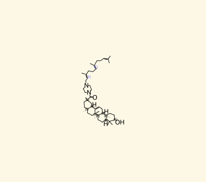 CC(C)=CCC/C(C)=C/CC/C(C)=C/CN1CCN(C(=O)[C@@]2(C)CC[C@]3(C)CC[C@]4(C)C(=CC[C@@H]5[C@@]6(C)CC[C@H](O)C(C)(C)[C@@H]6CC[C@]54C)[C@@H]3C2)CC1